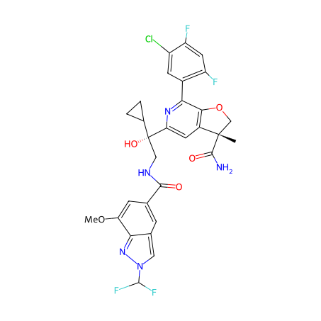 COc1cc(C(=O)NC[C@](O)(c2cc3c(c(-c4cc(Cl)c(F)cc4F)n2)OC[C@]3(C)C(N)=O)C2CC2)cc2cn(C(F)F)nc12